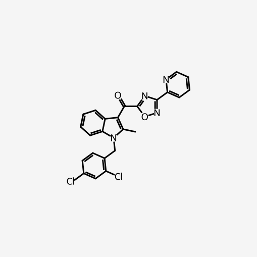 Cc1c(C(=O)c2nc(-c3ccccn3)no2)c2ccccc2n1Cc1ccc(Cl)cc1Cl